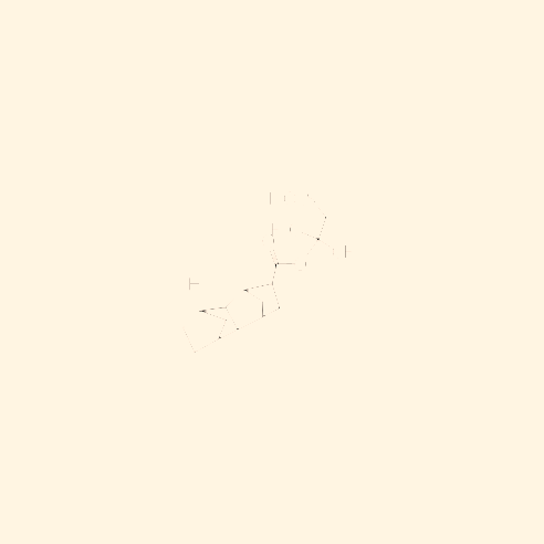 O=C(OC(CS(=O)(=O)O)(C(F)(F)F)C(F)(F)F)C1CC2CC1C1C2C2CC[C@@H]1C2